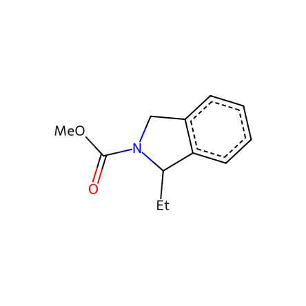 CCC1c2ccccc2CN1C(=O)OC